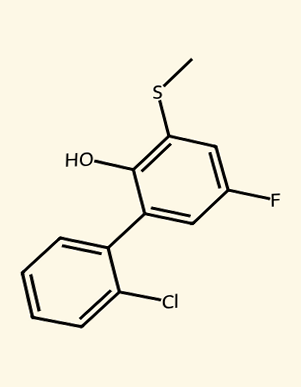 CSc1cc(F)cc(-c2ccccc2Cl)c1O